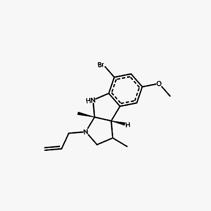 C=CCN1CC(C)[C@H]2c3cc(OC)cc(Br)c3N[C@]21C